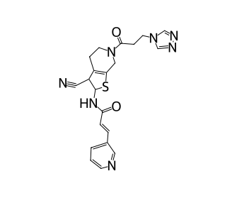 N#CC1C2=C(CN(C(=O)CCn3cnnc3)CC2)SC1NC(=O)/C=C/c1cccnc1